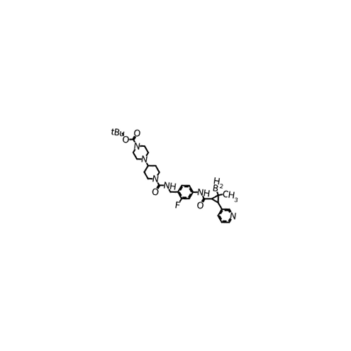 BC1(C)C(C(=O)Nc2ccc(CNC(=O)N3CCC(N4CCN(C(=O)OC(C)(C)C)CC4)CC3)c(F)c2)C1c1cccnc1